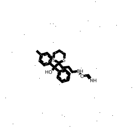 Cc1ccc(C(O)(c2ccccc2)C2(CCCBOC=N)SCCCS2)cc1